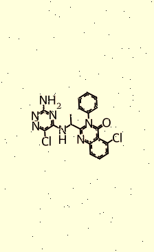 CC(Nc1nc(N)nnc1Cl)c1nc2cccc(Cl)c2c(=O)n1-c1ccccc1